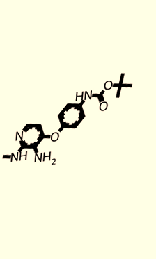 CNc1nccc(Oc2ccc(NC(=O)OC(C)(C)C)cc2)c1N